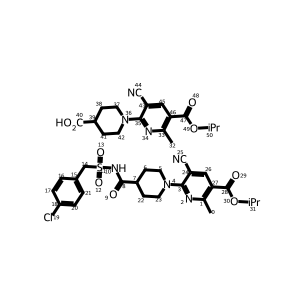 Cc1nc(N2CCC(C(=O)NS(=O)(=O)Cc3ccc(Cl)cc3)CC2)c(C#N)cc1C(=O)OC(C)C.Cc1nc(N2CCC(C(=O)O)CC2)c(C#N)cc1C(=O)OC(C)C